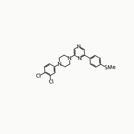 CSc1ccc(-c2cncc(N3CCN(c4ccc(Cl)c(Cl)c4)CC3)n2)cc1